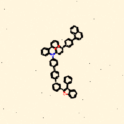 c1ccc(-c2ccccc2N(c2ccc(-c3ccc(-c4cccc(-c5oc6ccccc6c5-c5ccccc5)c4)cc3)cc2)c2ccc(-c3ccc(-c4cccc5ccccc45)cc3)cc2)cc1